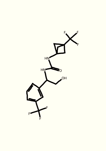 O=C(NC(CO)c1cccc(C(F)(F)F)c1)NC12CC(C(F)(F)F)(C1)C2